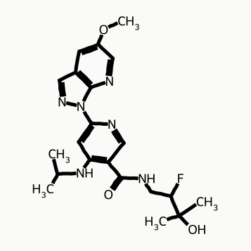 COc1cnc2c(cnn2-c2cc(NC(C)C)c(C(=O)NCC(F)C(C)(C)O)cn2)c1